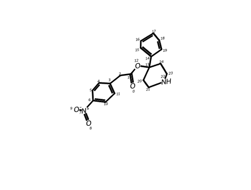 O=C(Cc1ccc([N+](=O)[O-])cc1)OC1(c2ccccc2)CCNCC1